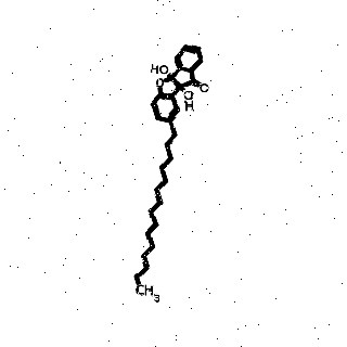 CCCCCCCCCCCCCCCc1ccc2c(c1)C1(O)C(=O)c3ccccc3C1(O)O2